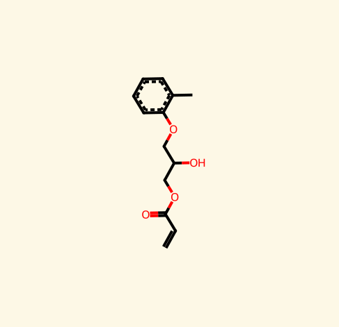 C=CC(=O)OCC(O)COc1ccccc1C